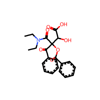 CCN(CC)C(=O)C(OC(=O)c1ccccc1)(C(=O)c1ccccc1)C(O)C(=O)O